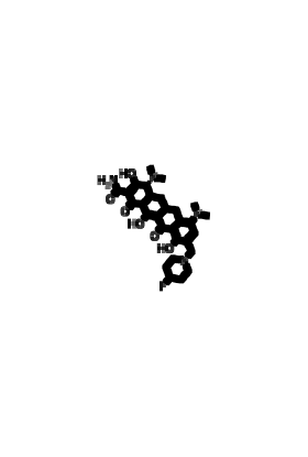 CN(C)c1cc(CN2CCC(F)CC2)c(O)c2c1CC1CC3C(C(=O)C(C(N)=O)=C(O)[C@@H]3N(C)C)C(O)=C1C2=O